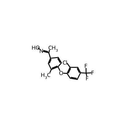 CC(=NO)c1ccc(Oc2ccc(C(F)(F)F)cc2Cl)c(C)c1